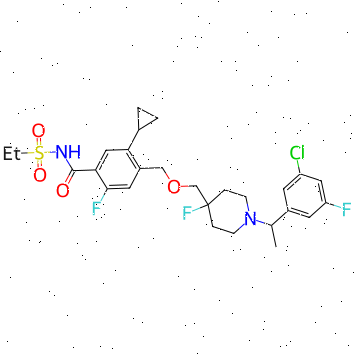 CCS(=O)(=O)NC(=O)c1cc(C2CC2)c(COCC2(F)CCN(C(C)c3cc(F)cc(Cl)c3)CC2)cc1F